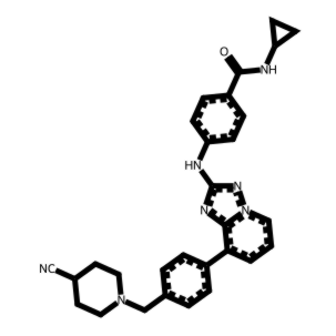 N#CC1CCN(Cc2ccc(-c3cccn4nc(Nc5ccc(C(=O)NC6CC6)cc5)nc34)cc2)CC1